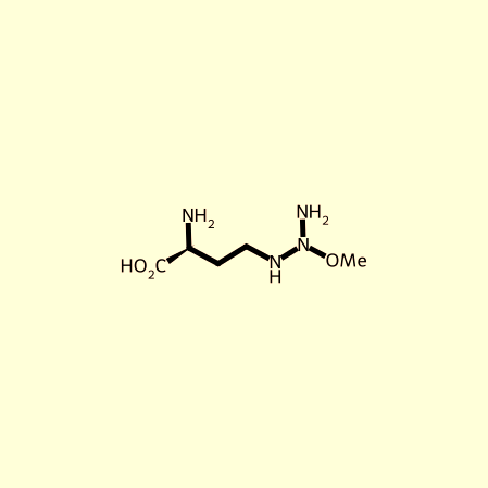 CON(N)NCC[C@H](N)C(=O)O